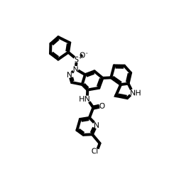 O=C(Nc1cc(-c2cccc3[nH]ccc23)cc2c1cnn2[S+]([O-])c1ccccc1)c1cccc(CCl)n1